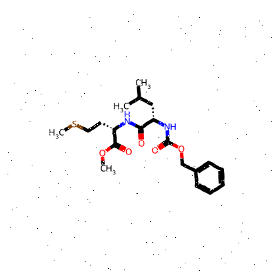 COC(=O)[C@H](CCSC)NC(=O)[C@H](CC(C)C)NC(=O)OCc1ccccc1